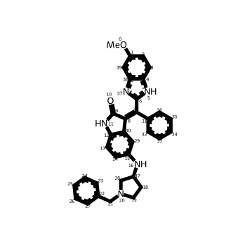 COc1ccc2[nH]c(C(=C3C(=O)Nc4ccc(NC5CCN(Cc6ccccc6)C5)cc43)c3ccccc3)nc2c1